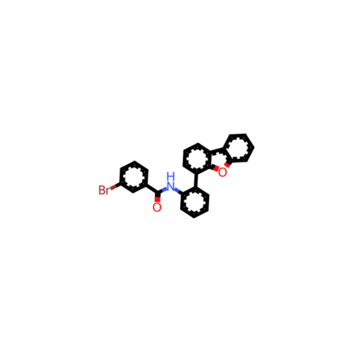 O=C(Nc1ccccc1-c1cccc2c1oc1ccccc12)c1cccc(Br)c1